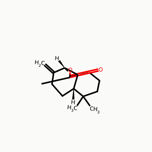 C=C1CC[C@H]2C(C)(C)CCC[C@@]23C(=O)OC[C@H]13